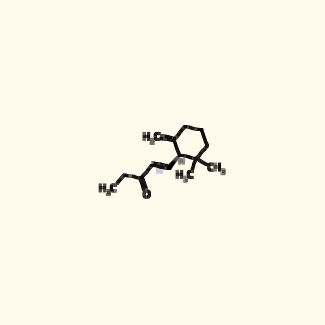 C=C1CCCC(C)(C)[C@H]1/C=C/C(=O)CC